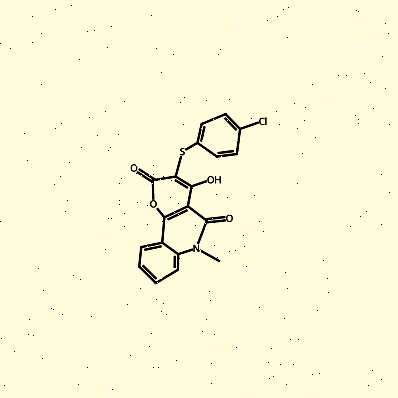 Cn1c(=O)c2c(O)c(Sc3ccc(Cl)cc3)c(=O)oc2c2ccccc21